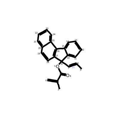 C=C(C)C(=O)OC1(/C=C/C)c2ccccc2-c2c1ccc1ccccc21